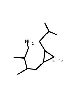 CC(C)CC1C(CC(C)C(C)CN)[C@H]1C